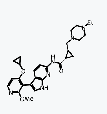 CCN1CCN(C[C@H]2C[C@@H]2C(=O)Nc2ccc3c(-c4c(OC5CC5)ccnc4OC)c[nH]c3n2)CC1